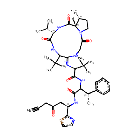 C#CCC(=O)C[C@@H](NC(=O)C(NC(=O)C(/N=C1\NCC(=O)N2CC[C@@H](C)[C@H]2C(=O)N[C@@H](C(C)C)C(=O)NC1C(C)(C)C)C(C)(C)C)[C@@H](C)c1ccccc1)c1nccs1